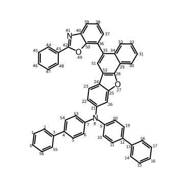 c1ccc(-c2ccc(N(c3ccc(-c4ccccc4)cc3)c3ccc4c(c3)oc3c5ccccc5c(-c5cccc6nc(-c7ccccc7)oc56)cc43)cc2)cc1